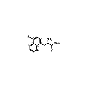 COC(=O)[C@@H](N)Cc1ccc(Br)c2cccnc12